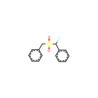 O=S(=O)(Cc1ccccc1)C(F)c1ccccc1